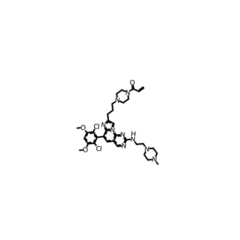 C=CC(=O)N1CCN(CCCc2cn3c(n2)c(-c2c(Cl)c(OC)cc(OC)c2Cl)cc2cnc(NCCN4CCN(C)CC4)nc23)CC1